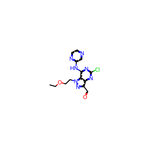 CCOCCn1nc(C=O)c2nc(Cl)nc(Nc3cnccn3)c21